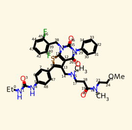 CCNC(=O)Nc1ccc(-c2sc3c(c2CN(C)CCC(=O)N(C)CCOC)c(=O)n(-c2ccccc2)c(=O)n3Cc2c(F)cccc2F)cc1